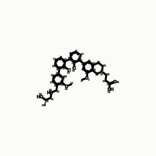 COc1cc(-c2nccc(-c3cccc(-c4ccc(CNC[C@H](C)O)c(OC)n4)c3Cl)c2Cl)cc2c1CN(CCC(=O)O)CC2